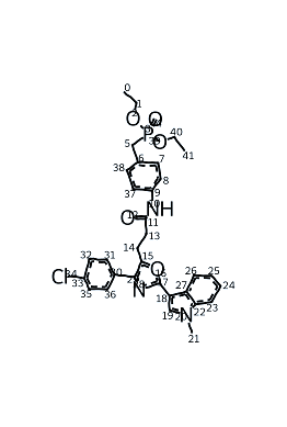 CCOP(=O)(Cc1ccc(NC(=O)CCc2oc(-c3cn(C)c4ccccc34)nc2-c2ccc(Cl)cc2)cc1)OCC